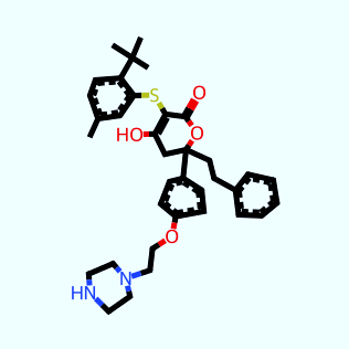 Cc1ccc(C(C)(C)C)c(SC2=C(O)CC(CCc3ccccc3)(c3ccc(OCCN4CCNCC4)cc3)OC2=O)c1